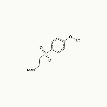 CCOc1ccc(S(=O)(=O)CCNC)cc1